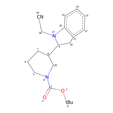 CC(C)(C)OC(=O)N1CCCC(C2Cc3ccccc3N2CC#N)C1